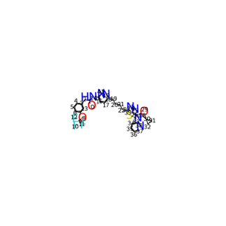 O=C(Cc1cccc(OC(F)(F)F)c1)Nc1ccc(CCCCc2nnc(N(C(=O)C3CC3)c3ccccn3)s2)nn1